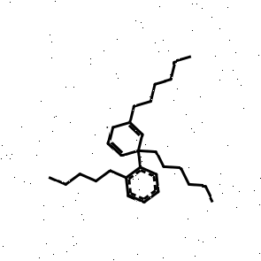 CCCCCCC1=CC(CCCCCC)(c2ccccc2CCCCC)C=C[CH]1